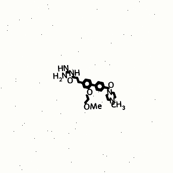 COCCCOc1cc(CCC(=O)NC(=N)N)ccc1-c1ccc(C(=O)N2CCN(C)CC2)cc1